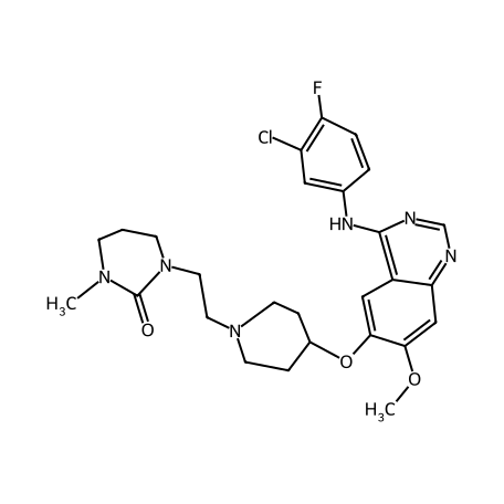 COc1cc2ncnc(Nc3ccc(F)c(Cl)c3)c2cc1OC1CCN(CCN2CCCN(C)C2=O)CC1